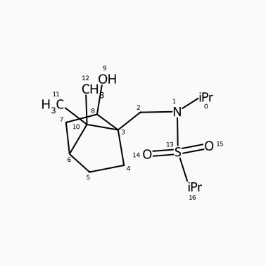 CC(C)N(CC12CCC(CC1O)C2(C)C)S(=O)(=O)C(C)C